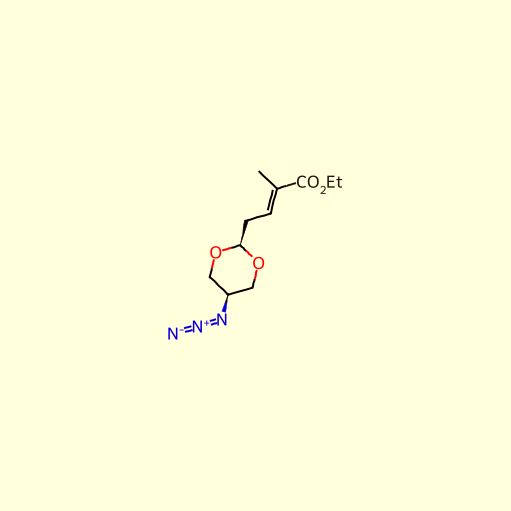 CCOC(=O)/C(C)=C/C[C@H]1OC[C@@H](N=[N+]=[N-])CO1